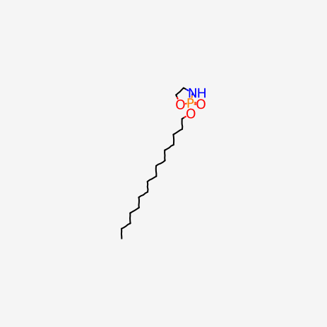 CCCCCCCCCCCCCCCCOP1(=O)NCCO1